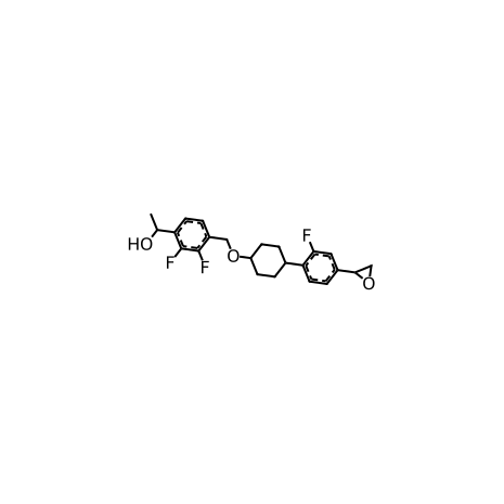 CC(O)c1ccc(COC2CCC(c3ccc(C4CO4)cc3F)CC2)c(F)c1F